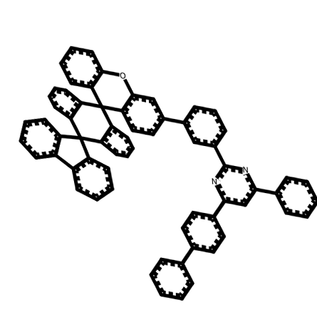 c1ccc(-c2ccc(-c3cc(-c4ccccc4)nc(-c4cccc(-c5ccc6c(c5)Oc5ccccc5C65c6ccccc6C6(c7ccccc7-c7ccccc76)c6ccccc65)c4)n3)cc2)cc1